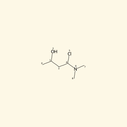 CC(O)CC(Cl)N(C)C